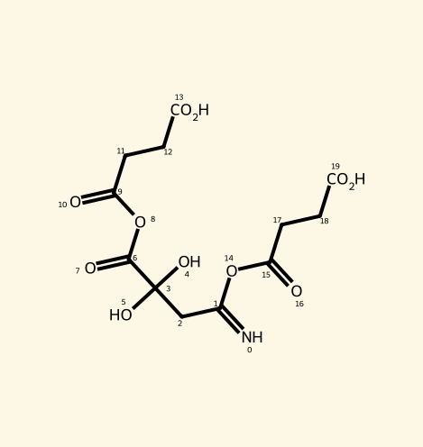 N=C(CC(O)(O)C(=O)OC(=O)CCC(=O)O)OC(=O)CCC(=O)O